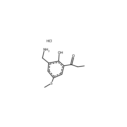 CCC(=O)c1cc(SC)cc(CN)c1O.Cl